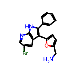 NCc1ccc(-c2c(-c3ccccc3)[nH]c3ncc(Br)cc23)o1